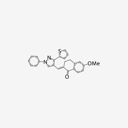 COc1ccc2c(c1)CCC(=Cc1cn(-c3ccccc3)nc1-c1cccs1)C2=O